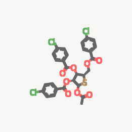 CC(=O)OC1S[C@H](COC(=O)c2ccc(Cl)cc2)[C@H](OC(=O)c2ccc(Cl)cc2)[C@@H]1OC(=O)c1ccc(Cl)cc1